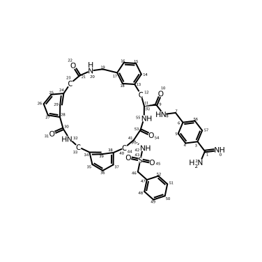 N=C(N)c1ccc(CNC(=O)[C@@H]2Cc3cccc(c3)CNC(=O)Cc3cccc(c3)C(=O)NCc3cccc(c3)C[C@@H](NS(=O)(=O)Cc3ccccc3)C(=O)N2)cc1